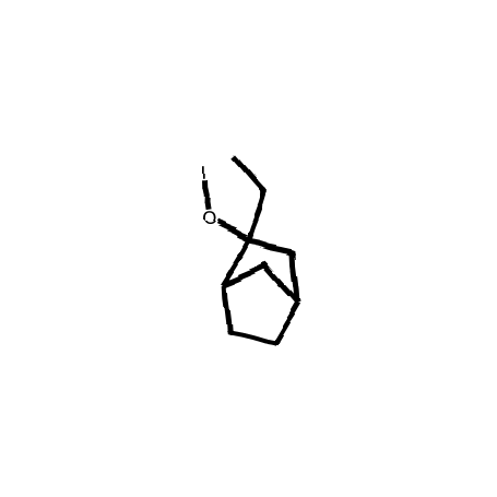 CCC1(OI)CC2CCC1C2